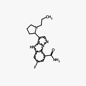 CCCN1CCCC1c1cnn2c1[nH]c1cc(F)cc(C(N)=O)c12